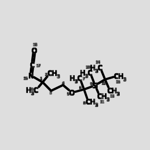 CC(C)(CCOC(C)(C)[Si](C)(C)C(C)(C)C)N=C=O